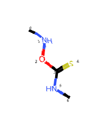 CNOC(=S)NC